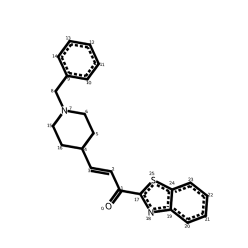 O=C(C=CC1CCN(Cc2ccccc2)CC1)c1nc2ccccc2s1